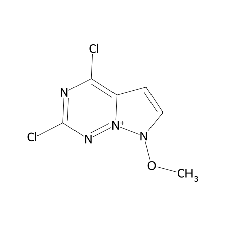 COn1ccc2c(Cl)nc(Cl)n[n+]21